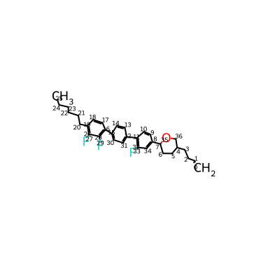 C=CCCC1CCC(c2ccc(-c3ccc(-c4ccc(CCCCCC)c(F)c4F)cc3)c(F)c2)OC1